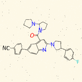 N#Cc1ccc(-c2ccc3nc(N4CCC(c5ccc(F)cc5)C4)cc(C(=O)N4CCCC4N4CCCC4)c3c2)cc1